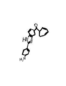 Nc1ccc(-c2nc3cc(C(=O)c4ccccc4)ccc3[nH]2)cc1